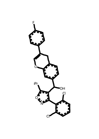 CC(C)c1onc(-c2c(Cl)cccc2Cl)c1C(O)c1ccc2c(c1)OC=C(c1ccc(F)cc1)C2